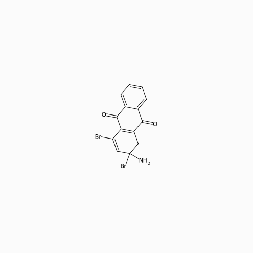 NC1(Br)C=C(Br)C2=C(C1)C(=O)c1ccccc1C2=O